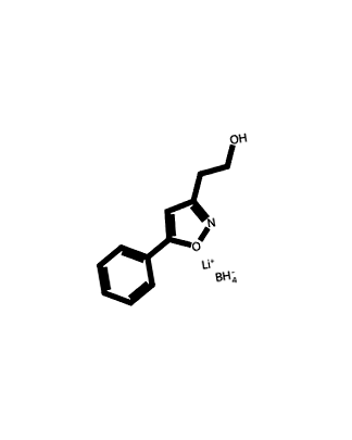 OCCc1cc(-c2ccccc2)on1.[BH4-].[Li+]